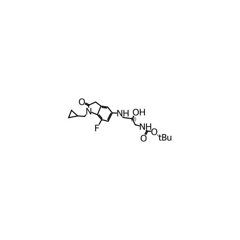 CC(C)(C)OC(=O)NC[C@H](O)CNc1cc(F)c2c(c1)CC(=O)N2CC1CC1